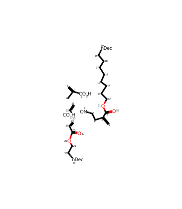 C=C(C)C(=O)O.C=C(CCN=O)C(=O)OCCCCCCCCCCCCCCCCCC.C=CC(=O)O.C=CC(=O)OCCCCCCCCCCCC